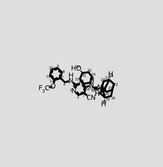 N#Cc1cnc(NCc2ccccc2OC(F)(F)F)nc1NC[C@]12CC3C[C@H](C1)[C@@H](NC[C@H]1CC[C@H](O)CC1)[C@@H](C3)C2